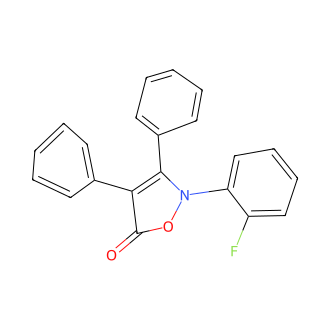 O=c1on(-c2ccccc2F)c(-c2ccccc2)c1-c1ccccc1